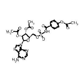 CC(=O)Oc1ccc(C(=O)NS(=O)(=O)OC[C@H]2O[C@@H](n3cnc4c(N)ncnc43)[C@H](OC(C)=O)[C@@H]2OC(C)=O)cc1